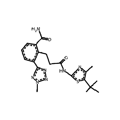 Cc1nc(NC(=O)CCc2c(C(N)=O)cccc2-c2nnn(C)n2)sc1C(C)(C)C